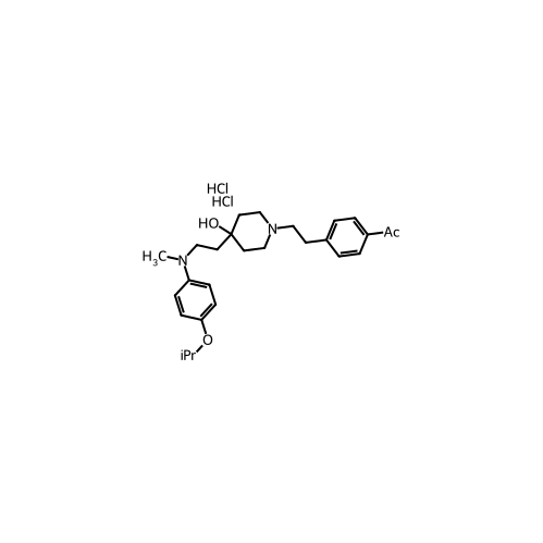 CC(=O)c1ccc(CCN2CCC(O)(CCN(C)c3ccc(OC(C)C)cc3)CC2)cc1.Cl.Cl